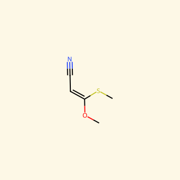 CO/C(=C/C#N)SC